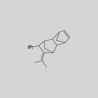 CC(C)=C1C2CC(C1C(C)C)C1C3C=CC(C3)C21